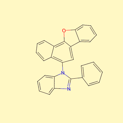 c1ccc(-c2nc3ccccc3n2-c2cc3c4ccccc4oc3c3ccccc23)cc1